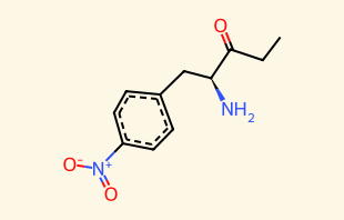 CCC(=O)[C@@H](N)Cc1ccc([N+](=O)[O-])cc1